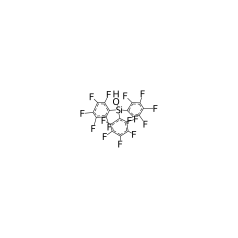 O[Si](c1c(F)c(F)c(F)c(F)c1F)(c1c(F)c(F)c(F)c(F)c1F)c1c(F)c(F)c(F)c(F)c1F